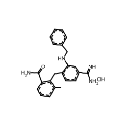 Cc1cccc(C(N)=O)c1Cc1ccc(C(=N)N)cc1NCc1ccccc1.Cl